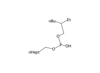 CCCCCCCCOP(O)OCC(CC)CCCC